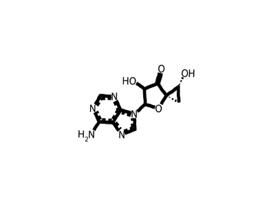 Nc1ncnc2c1ncn2C1O[C@@]2(C[C@H]2O)C(=O)C1O